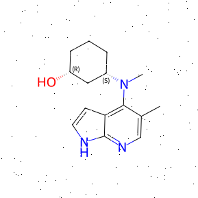 Cc1cnc2[nH]ccc2c1N(C)[C@H]1CCC[C@@H](O)C1